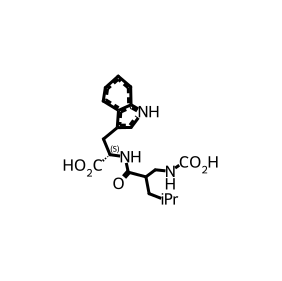 CC(C)CC(CNC(=O)O)C(=O)N[C@@H](Cc1c[nH]c2ccccc12)C(=O)O